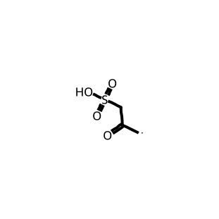 [CH2]C(=O)CS(=O)(=O)O